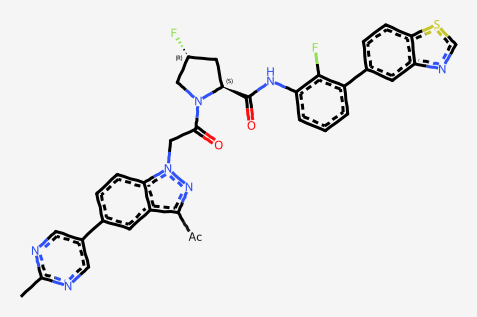 CC(=O)c1nn(CC(=O)N2C[C@H](F)C[C@H]2C(=O)Nc2cccc(-c3ccc4scnc4c3)c2F)c2ccc(-c3cnc(C)nc3)cc12